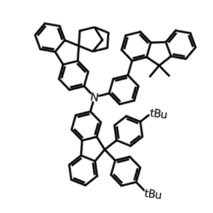 CC(C)(C)c1ccc(C2(c3ccc(C(C)(C)C)cc3)c3ccccc3-c3ccc(N(c4cccc(-c5cccc6c5C(C)(C)c5ccccc5-6)c4)c4ccc5c(c4)C4(CC6CCC4C6)c4ccccc4-5)cc32)cc1